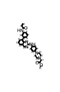 C=CC(=O)Nc1cccc(-c2cccc3cnc(Nc4ccc(N5CCN(CC(=O)OC)CC5)cc4)nc23)c1